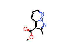 COC(=O)c1c(C)nn2ncccc12